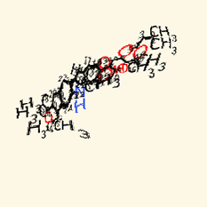 CC(C)=CC1OC2C(OC3CC[C@@]4(C)C(O)(CCC5Cc6c([nH]c7cc8c(cc67)CC6C8=CC(C)(C)OC6(C)C)[C@@]54C)C34OC24)C(C)(C)O1